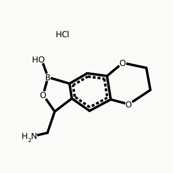 Cl.NCC1OB(O)c2cc3c(cc21)OCCO3